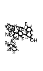 C#Cc1c(F)ccc2cc(O)cc(-c3cc4c5c(c(C#N)c(OC[C@@]67CCCN6C[C@H](F)C7)nc5c3F)N3CC5CCC(N5)C3CO4)c12